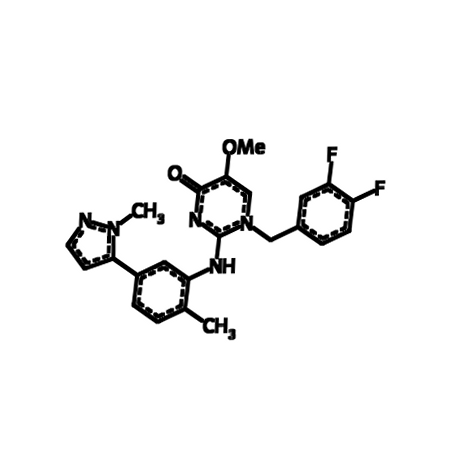 COc1cn(Cc2ccc(F)c(F)c2)c(Nc2cc(-c3ccnn3C)ccc2C)nc1=O